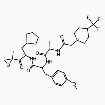 COc1ccc(CC(NC(=O)C(C)NC(=O)CN2CCC(C(F)(F)F)CC2)C(=O)NC(CC2CCCC2)C(=O)C2(C)CO2)cc1